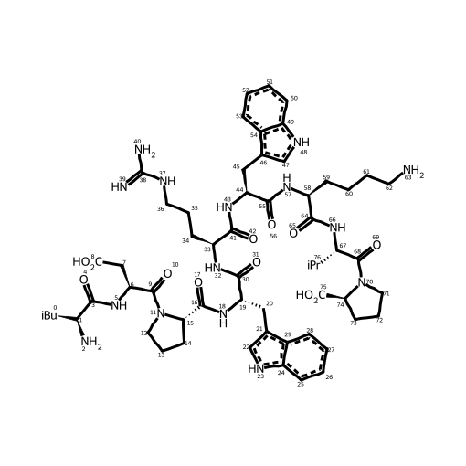 CC[C@H](C)[C@H](N)C(=O)N[C@@H](CC(=O)O)C(=O)N1CCC[C@H]1C(=O)N[C@@H](Cc1c[nH]c2ccccc12)C(=O)N[C@@H](CCCNC(=N)N)C(=O)N[C@@H](Cc1c[nH]c2ccccc12)C(=O)N[C@@H](CCCCN)C(=O)N[C@H](C(=O)N1CCC[C@H]1C(=O)O)C(C)C